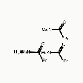 CNC(=O)C(C)C.CNC(=O)C(C)C.CNC(=O)C(C)C.[AlH3]